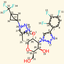 CO[C@@H]1[C@@H](n2cc(-c3ccc(F)c(F)c3F)nn2)[C@@H](O)[C@@H](CO)O[C@@H]1Cc1cn(C23CC(C(F)(F)F)(C2)C3)nn1